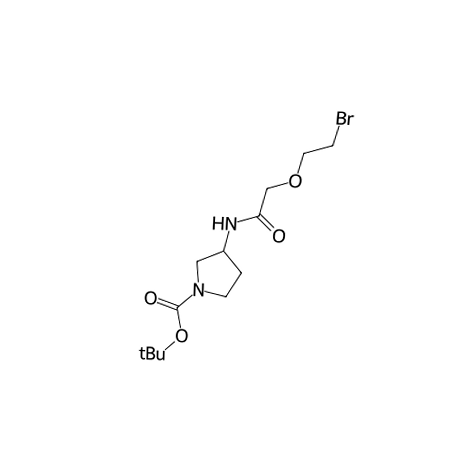 CC(C)(C)OC(=O)N1CCC(NC(=O)COCCBr)C1